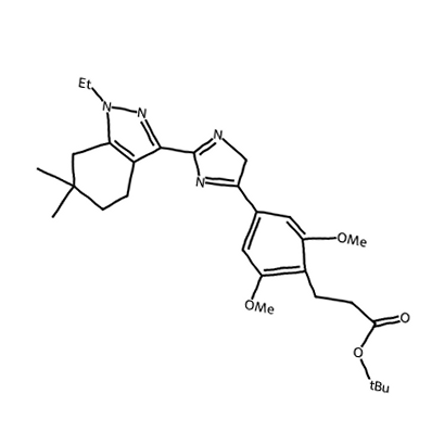 CCn1nc(C2=NCC(c3cc(OC)c(CCC(=O)OC(C)(C)C)c(OC)c3)=N2)c2c1CC(C)(C)CC2